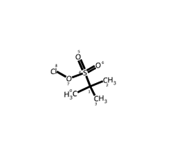 CC(C)(C)S(=O)(=O)OCl